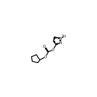 [2H]n1ccc(OC(=O)OC2CCCC2)n1